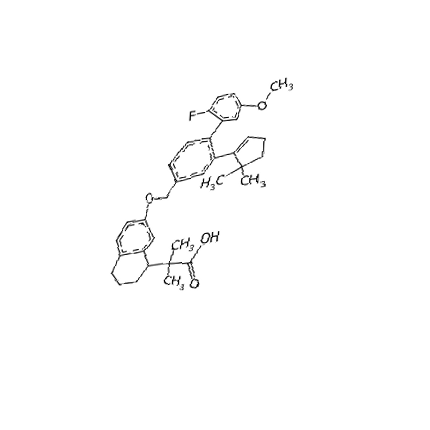 COc1ccc(F)c(-c2ccc(COc3ccc4c(c3)C(C(C)(C)C(=O)O)CCC4)cc2C2=CCCC2(C)C)c1